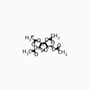 CC(=O)OC[C@H]1OS[C@H](OC(C)=O)[C@@H](OC(C)=O)[C@H]1OC(C)=O